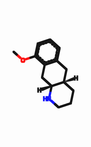 COc1cccc2c1C[C@H]1NCCC[C@@H]1C2